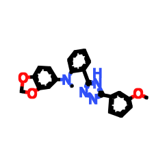 COc1cccc(-c2nnc(-c3ccccc3N(C)c3ccc4c(c3)OCO4)[nH]2)c1